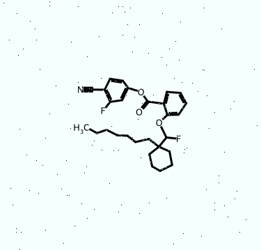 CCCCCCCC1(C(F)Oc2ccccc2C(=O)Oc2ccc(C#N)c(F)c2)CCCCC1